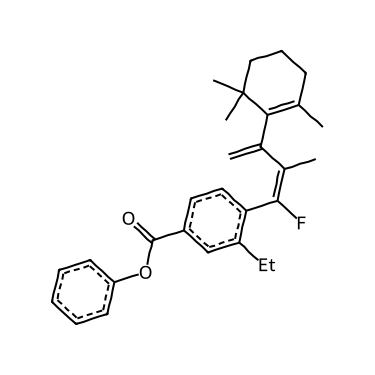 C=C(C(C)=C(F)c1ccc(C(=O)Oc2ccccc2)cc1CC)C1=C(C)CCCC1(C)C